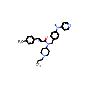 CN(c1ccncc1)c1ccc(CN(C(=O)/C=C/c2ccc(C(F)(F)F)cc2)C2CCN(CCC(F)(F)F)CC2)cc1